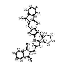 S=C1C(=Cc2cc3c(s2)-c2sc(C=C4C(=S)c5ccccc5C4=S)cc2C2(CCCCC2)O3)C(=S)c2ccccc21